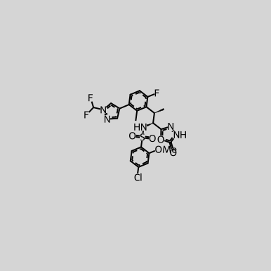 COc1cc(Cl)ccc1S(=O)(=O)N[C@H](c1n[nH]c(=O)o1)[C@H](C)c1c(F)ccc(-c2cnn(C(F)F)c2)c1C